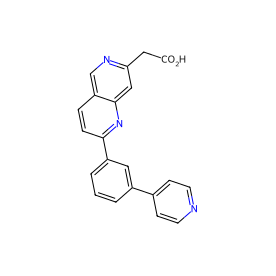 O=C(O)Cc1cc2nc(-c3cccc(-c4ccncc4)c3)ccc2cn1